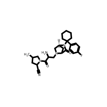 CC1CC(C#N)N(C(=O)C(N)CN2C[C@@H]3CC2C(=O)N3C2(c3ccc(F)cc3)CCCCC2)C1